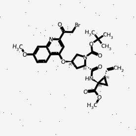 C=C[C@@H]1C[C@]1(NC(=O)[C@@H]1C[C@@H](Oc2cc(C(=O)CBr)nc3cc(OC)ccc23)CN1C(=O)OC(C)(C)C)C(=O)OC